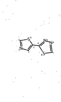 c1ncc(-c2nncs2)s1